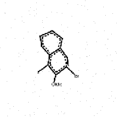 COc1c(Br)cc2ccccc2c1I